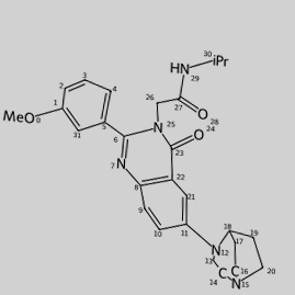 COc1cccc(-c2nc3ccc(N4CCN5CCC4CC5)cc3c(=O)n2CC(=O)NC(C)C)c1